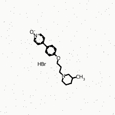 Br.CC1CCCN(CCCOc2ccc(-c3cc[n+]([O-])cc3)cc2)C1